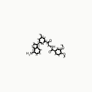 COc1ccc(C(=O)NCC(=O)c2cc(C)cc(-c3csc4c(N)cccc34)n2)cc1OC